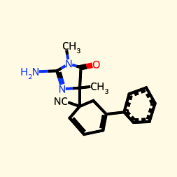 CN1C(=O)C(C)(C2(C#N)C=CC=C(c3ccccc3)C2)N=C1N